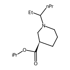 CCCC(CC)N1CCC[C@@H](C(=O)OC(C)C)C1